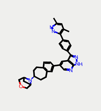 Cc1cc(C)c(-c2ccc(-c3n[nH]c4ncc(-c5ccc6c(c5)CC[C@@H](N5C7COCC5C7)CC6)cc34)cc2)nn1